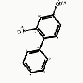 COc1ccc(-c2ccccc2)c([N+](=O)[O-])c1